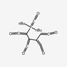 CCCCP(=C=O)(CCCC)C(=C=O)C(=C=O)C(=C=O)C=C=O